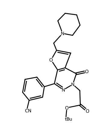 CC(C)(C)OC(=O)Cn1nc(-c2cccc(C#N)c2)c2oc(CN3CCCCC3)cc2c1=O